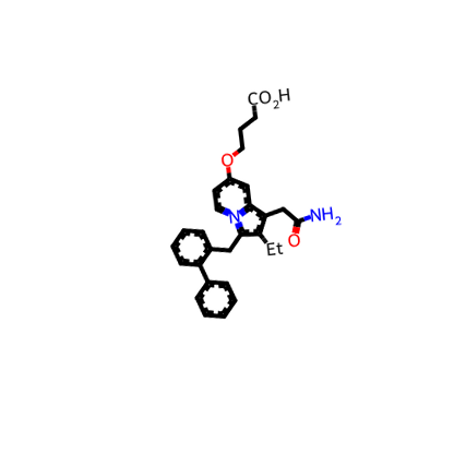 CCc1c(CC(N)=O)c2cc(OCCCC(=O)O)ccn2c1Cc1ccccc1-c1ccccc1